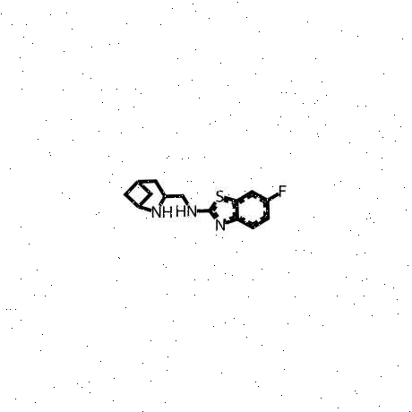 Fc1ccc2nc(NCC3CC4CC(C4)N3)sc2c1